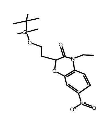 CCN1C(=O)C(CCO[Si](C)(C)C(C)(C)C)Oc2cc([N+](=O)[O-])ccc21